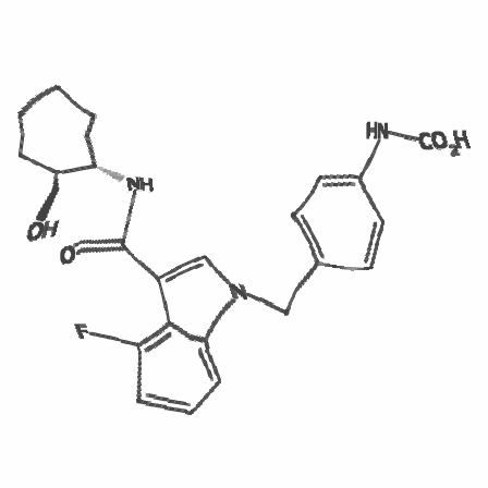 O=C(O)Nc1ccc(Cn2cc(C(=O)N[C@H]3CCCC[C@@H]3O)c3c(F)cccc32)cc1